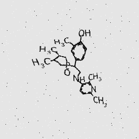 Cc1ccc(NCC(c2ccc(O)c(C)c2)P2(=O)C[C@@H](C)[C@@H](C)C2)c(C)n1